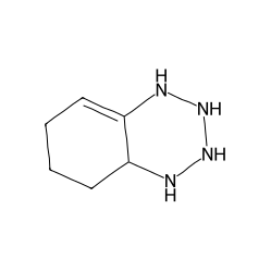 C1=C2NNNNC2CCC1